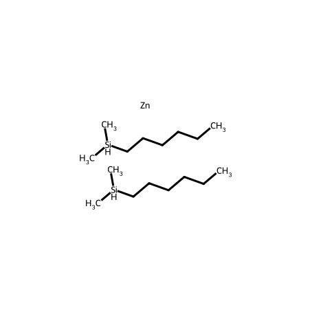 CCCCCC[SiH](C)C.CCCCCC[SiH](C)C.[Zn]